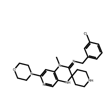 CN1/C(=N/Cc2cccc(Cl)c2)C2(CCNCC2)Nc2cnc(N3CCOCC3)cc21